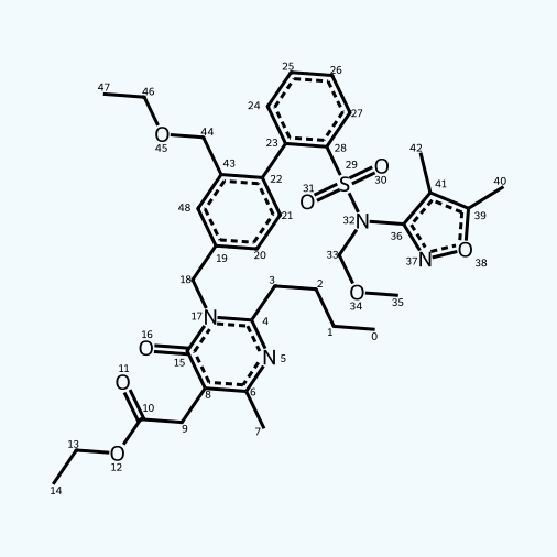 CCCCc1nc(C)c(CC(=O)OCC)c(=O)n1Cc1ccc(-c2ccccc2S(=O)(=O)N(COC)c2noc(C)c2C)c(COCC)c1